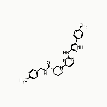 Cc1ccc(CNC(=O)[C@H]2CCCN(c3ccnc(Nc4cc(-c5ccc(C)cc5)[nH]n4)n3)C2)cc1